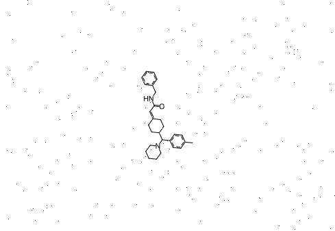 Cc1ccc(C(C2CCC(=CC(=O)NCc3ccccc3)CC2)N2CCCCC2)cc1